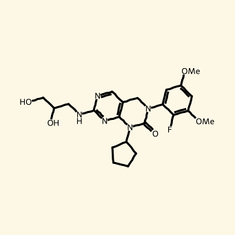 COc1cc(OC)c(F)c(N2Cc3cnc(NCC(O)CO)nc3N(C3CCCC3)C2=O)c1